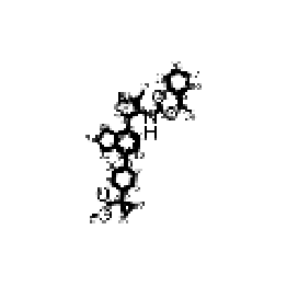 COC(=O)C1(c2ccc(-c3ccc(-c4snc(C)c4NC(=O)O[C@H](C)c4ccccc4)c4c3CCC4)cc2)CC1